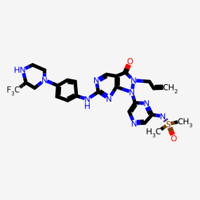 C=CCn1c(=O)c2cnc(Nc3ccc(N4CCNC(C(F)(F)F)C4)cc3)nc2n1-c1cncc(N=S(C)(C)=O)n1